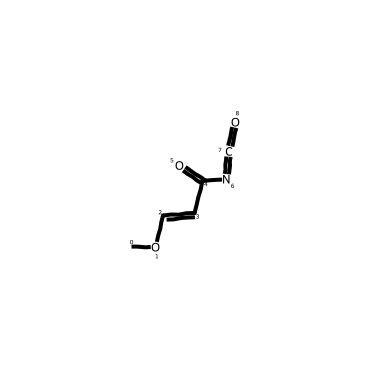 CO/C=C/C(=O)N=C=O